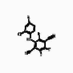 N#Cc1c(F)c(F)c(C#N)c(Nc2ccc(Br)cc2Cl)c1F